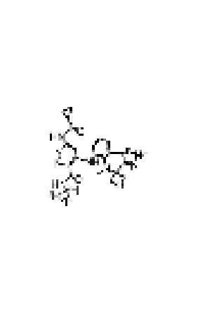 [2H]C([2H])([2H])NC(=O)c1nnc(NC(=O)C2CC2)cc1Nc1cccc2c1N(C)C1(COC1)c1nn(C)nc1-2